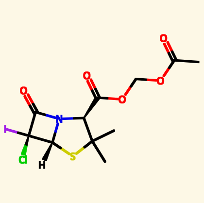 CC(=O)OCOC(=O)[C@@H]1N2C(=O)[C@@](Cl)(I)[C@H]2SC1(C)C